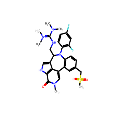 CN(C)C(NCC1c2c[nH]c3c(=O)n(C)cc(c23)-c2cc(CS(C)(=O)=O)ccc2N1c1ccc(F)cc1F)=[N+](C)C